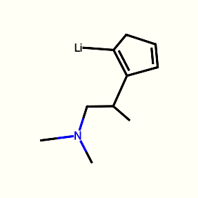 [Li][C]1=C(C(C)CN(C)C)C=CC1